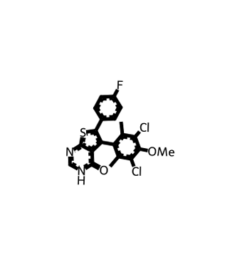 COc1c(Cl)c(C)c(-c2c(-c3ccc(F)cc3)sc3nc[nH]c(=O)c23)c(C)c1Cl